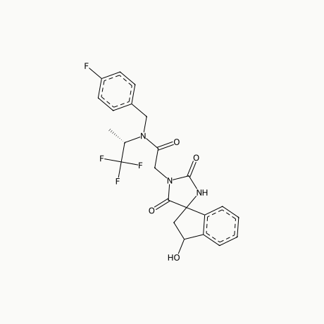 C[C@H](N(Cc1ccc(F)cc1)C(=O)CN1C(=O)NC2(CC(O)c3ccccc32)C1=O)C(F)(F)F